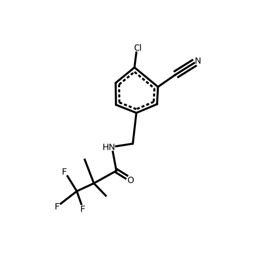 CC(C)(C(=O)NCc1ccc(Cl)c(C#N)c1)C(F)(F)F